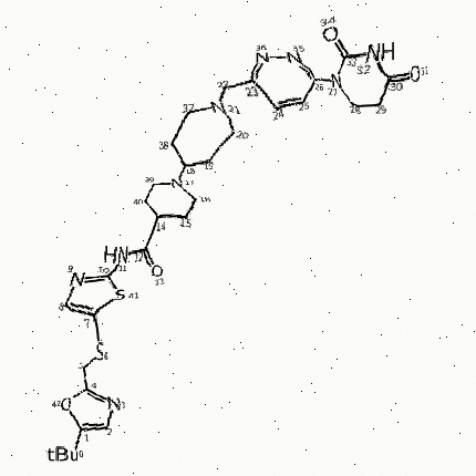 CC(C)(C)c1cnc(CSc2cnc(NC(=O)C3CCN(C4CCN(Cc5ccc(N6CCC(=O)NC6=O)nn5)CC4)CC3)s2)o1